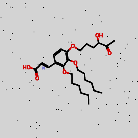 CCCCCCOc1c(/C=C/C(=O)O)ccc(OCCCC(O)C(C)=O)c1OCCCCCC